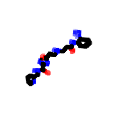 Nc1ccccc1NC(=O)CCNCCc1nc(C(=O)NCc2ccccn2)no1